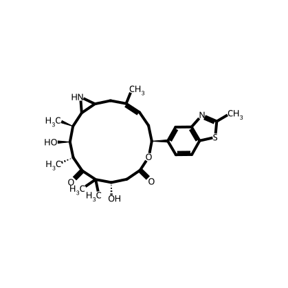 C/C1=C/C[C@@H](c2ccc3sc(C)nc3c2)OC(=O)C[C@H](O)C(C)(C)C(=O)[C@H](C)[C@@H](O)[C@@H](C)C2NC2C1